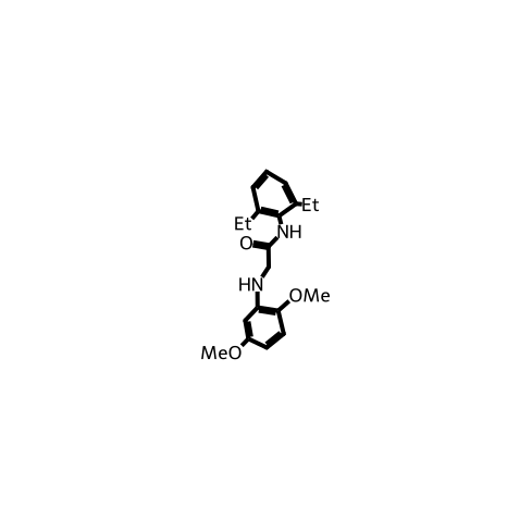 CCc1cccc(CC)c1NC(=O)CNc1cc(OC)ccc1OC